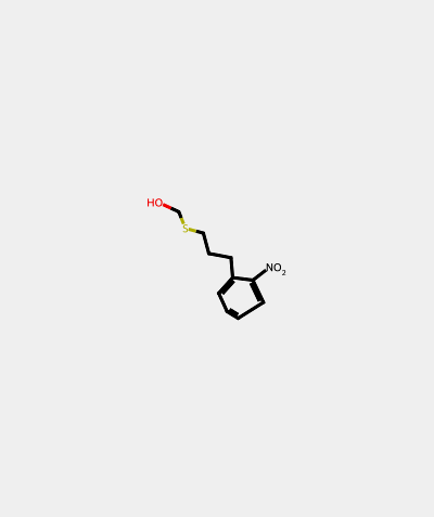 O=[N+]([O-])c1ccccc1CCCSCO